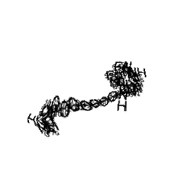 Cc1nc(NC(=O)c2ccccc2NC(=O)CCOCCOCCOCCOCCOCCOCCNC(=O)CN2CCN(Cc3ccc(Nc4ncc(F)c(-c5cc(F)c6nc(C)n(C(C)C)c6c5)n4)nc3)CC2)sc1C